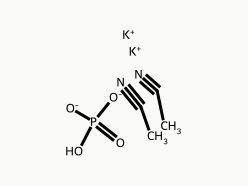 CC#N.CC#N.O=P([O-])([O-])O.[K+].[K+]